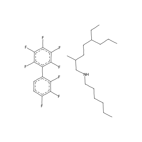 CCCCCCNCC(C)CCC(CC)CCC.Fc1ccc(-c2c(F)c(F)c(F)c(F)c2F)c(F)c1F